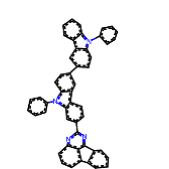 c1ccc(-n2c3ccccc3c3cc(-c4ccc5c(c4)c4ccc(-c6nc7c8c(cccc8n6)-c6ccccc6-7)cc4n5-c4ccccc4)ccc32)cc1